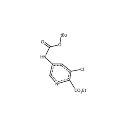 CCOC(=O)c1ncc(NC(=O)OC(C)(C)C)cc1Cl